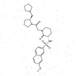 COc1ccc2ccc(S(=O)(=O)N[C@H]3CCCN(CC(=O)N4CCC[C@H]4CN4CCCC4)C3=O)cc2c1